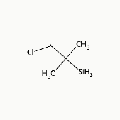 CC(C)([SiH3])[CH]Cl